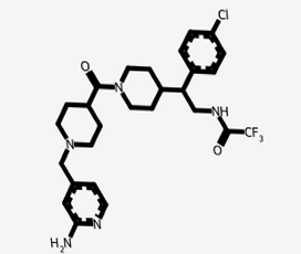 Nc1cc(CN2CCC(C(=O)N3CCC(C(CNC(=O)C(F)(F)F)c4ccc(Cl)cc4)CC3)CC2)ccn1